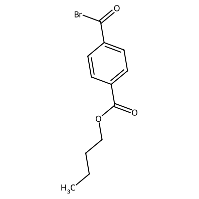 CCCCOC(=O)c1ccc(C(=O)Br)cc1